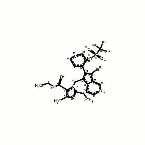 CCOC(=O)c1c(C)nc(CC)n1Cc1c2ccocc-2c(Br)c1-c1ccccc1NS(=O)(=O)C(F)(F)F